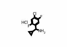 Cl.NC(c1cc(F)c(Cl)cc1F)C1CC1